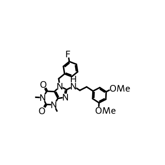 COc1cc(CCNc2nc3c(c(=O)n(C)c(=O)n3C)n2Cc2cccc(F)c2)cc(OC)c1